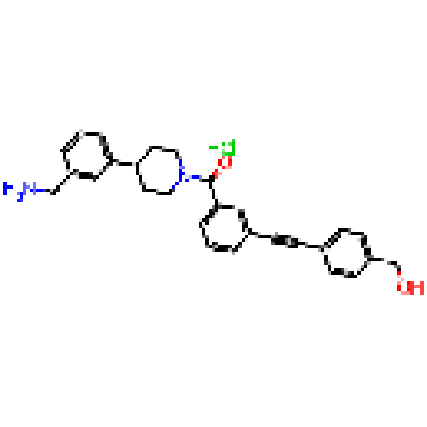 Cl.NCc1cccc(C2CCN(C(=O)c3cccc(C#Cc4ccc(CO)cc4)c3)CC2)c1